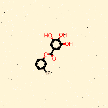 CC(C)c1cccc(OC(=O)c2cc(O)c(O)c(O)c2)c1